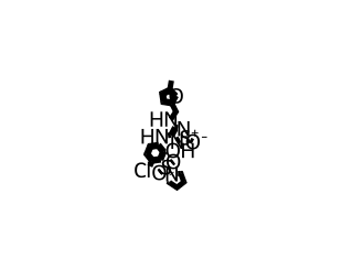 Cc1ccc(CNc2n[s+]([O-])nc2Nc2ccc(Cl)c(S(=O)(=O)N3CCCC3)c2O)o1